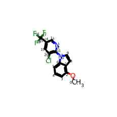 COc1cccc2c1ccn2-c1ncc(C(F)(F)F)cc1Cl